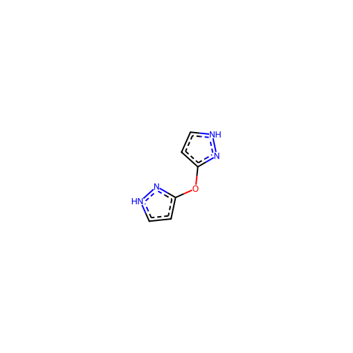 c1cc(Oc2cc[nH]n2)n[nH]1